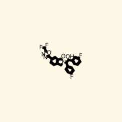 O=C1c2cc(-c3nnc(C(F)F)o3)ccc2CN1[C@H](c1ccc(F)cc1)[C@H](O)c1cccc(F)c1